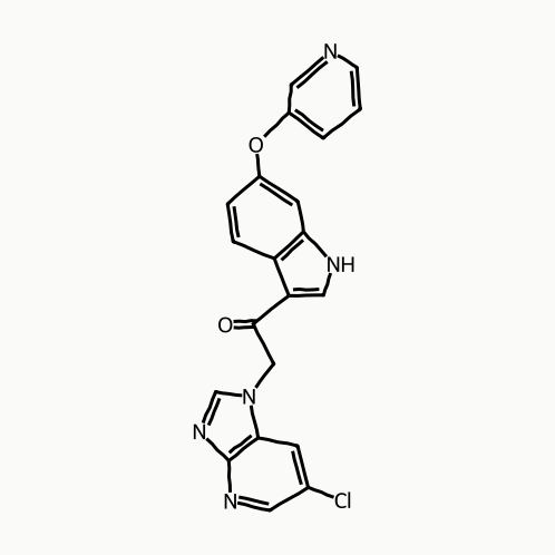 O=C(Cn1cnc2ncc(Cl)cc21)c1c[nH]c2cc(Oc3cccnc3)ccc12